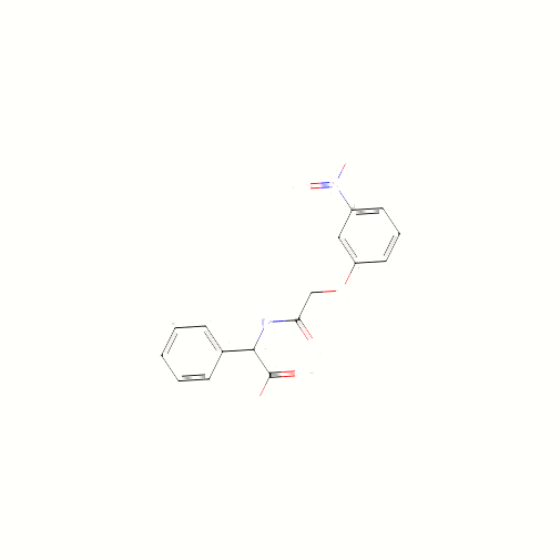 O=C(COc1cccc([N+](=O)[O-])c1)NC(C(=O)O)c1ccccc1